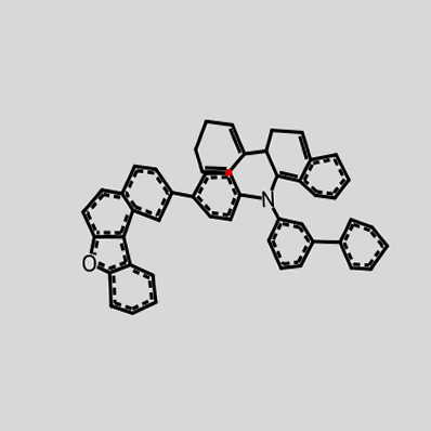 C1=CC(C2CC=c3ccccc3=C2N(c2ccc(-c3ccc4ccc5oc6ccccc6c5c4c3)cc2)c2cccc(-c3ccccc3)c2)=CCC1